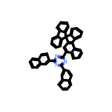 c1ccc2c(c1)-c1ccccc1C21c2ccccc2-c2c1cc(-c1nc(-c3ccc4ccccc4c3)nc(-c3ccc4ccccc4c3)n1)c1ccccc21